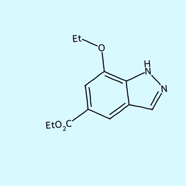 CCOC(=O)c1cc(OCC)c2[nH]ncc2c1